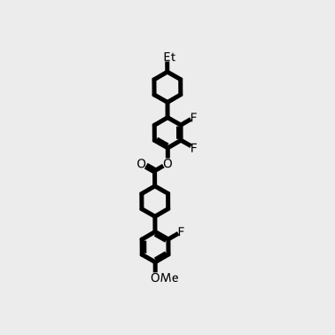 CCC1CCC(C2CC=C(OC(=O)C3CCC(c4ccc(OC)cc4F)CC3)C(F)=C2F)CC1